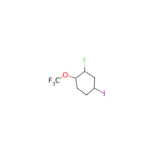 FC1CC(I)CCC1OC(F)(F)F